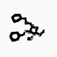 O[C@H]1C(OI)O[C@H](COCc2ccccc2)[C@H]1OCc1ccccc1